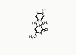 CC1=CC(Nc2ccc(F)cc2)N(C)C(Cl)=N1